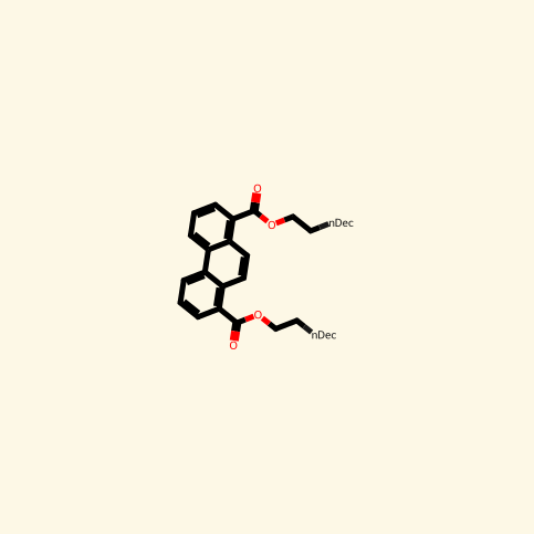 CCCCCCCCCCCCOC(=O)c1cccc2c1ccc1c(C(=O)OCCCCCCCCCCCC)cccc12